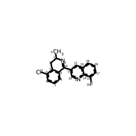 CC1Cc2c(Cl)cccc2C(c2cnc3c(F)cccc3c2)=N1